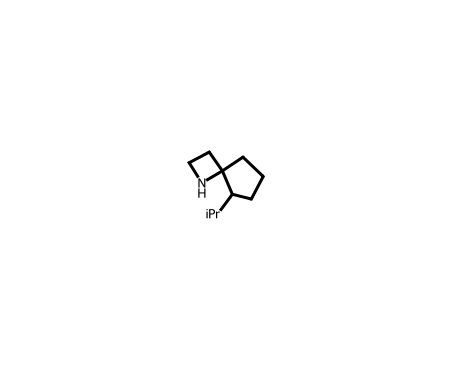 CC(C)C1CCCC12CCN2